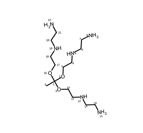 CC(OCCNCCN)(OCCNCCN)OCCNCCN